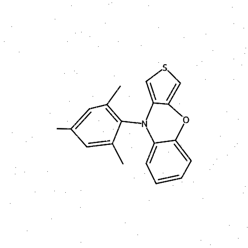 Cc1cc(C)c(N2c3ccccc3Oc3cscc32)c(C)c1